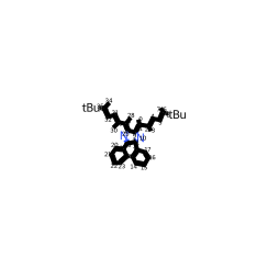 CC(/C(C)=C/C=C(\C)C(C)(C)C)=c1/nc(-c2ccccc2)c(-c2ccccc2)n/c1=C(C)\C(C)=C\C=C(/C)C(C)(C)C